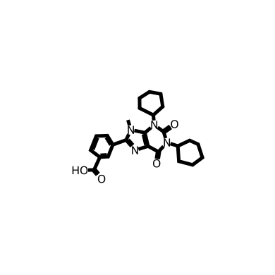 Cn1c(-c2cccc(C(=O)O)c2)nc2c(=O)n(C3CCCCC3)c(=O)n(C3CCCCC3)c21